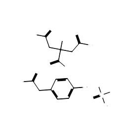 O=C(O)CC(O)(CC(=O)O)C(=O)O.O=C(O)Cc1ccc(O)cc1.O=P(O)(O)O